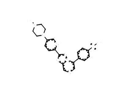 CN1CCN(c2c[c]c(-c3nc4cncc(-c5ccc(S(C)(=O)=O)cc5)n4n3)nc2)CC1